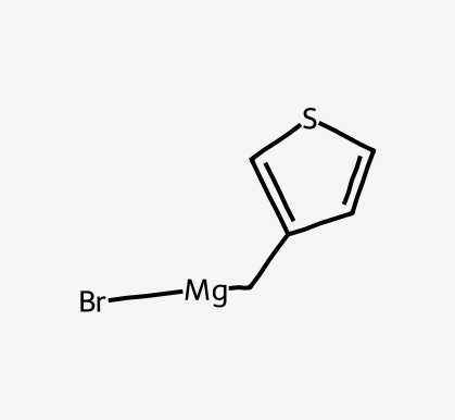 [Br][Mg][CH2]c1ccsc1